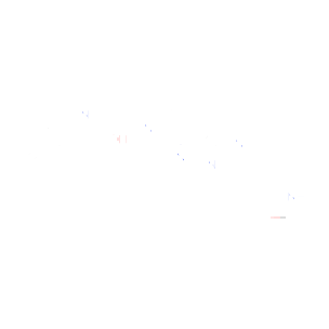 CC(=O)NC1CCC(Nc2cc(C(=O)NCC(O)CN3CCc4ccccc4C3)ncn2)CC1